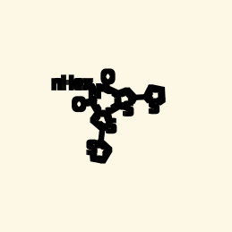 CCCCCCn1c(=O)c2cc(-c3cccs3)sc2c2sc(-c3cccs3)cc2c1=O